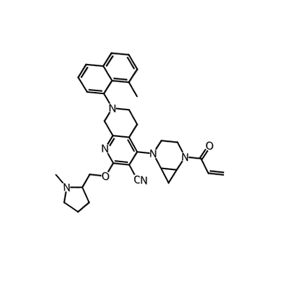 C=CC(=O)N1CCN(c2c(C#N)c(OCC3CCCN3C)nc3c2CCN(c2cccc4cccc(C)c24)C3)C2CC21